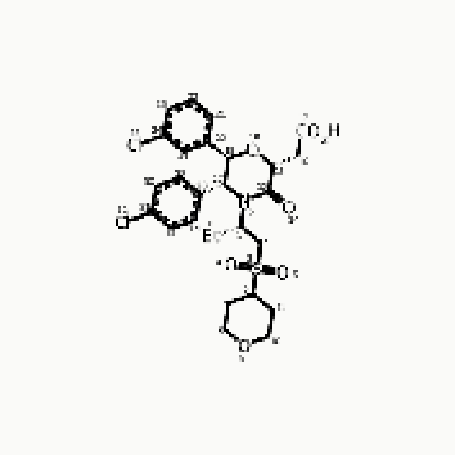 CC[C@@H](CS(=O)(=O)C1CCOCC1)N1C(=O)[C@@H](CC(=O)O)O[C@H](c2cccc(Cl)c2)[C@H]1c1ccc(Cl)cc1